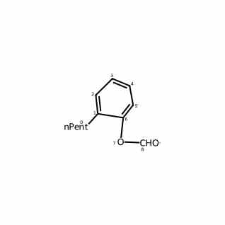 CCCCCc1ccccc1O[C]=O